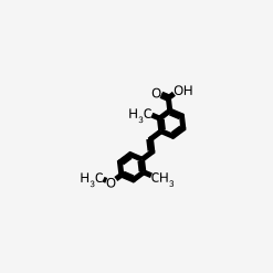 COc1ccc(/C=C/c2cccc(C(=O)O)c2C)c(C)c1